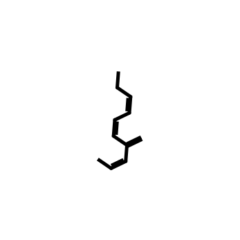 C=C(/C=C\C)/C=C\C=C/CC